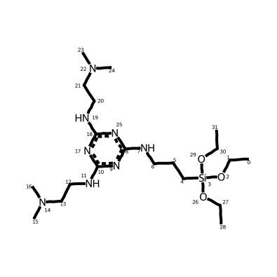 CCO[Si](CCCNc1nc(NCCN(C)C)nc(NCCN(C)C)n1)(OCC)OCC